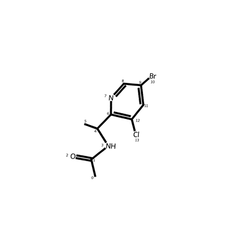 CC(=O)NC(C)c1ncc(Br)cc1Cl